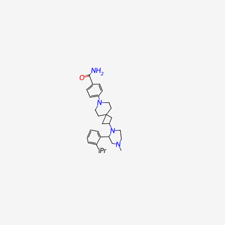 CC(C)c1ccccc1C1CN(C)CCN1C1CC2(CCN(c3ccc(C(N)=O)cc3)CC2)C1